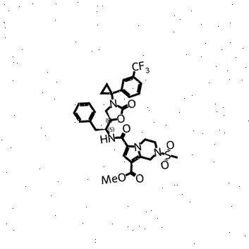 COC(=O)c1cc(C(=O)N[C@@H](Cc2ccccc2)[C@H]2CN(C3(c4cccc(C(F)(F)F)c4)CC3)C(=O)O2)n2c1CN(S(C)(=O)=O)CC2